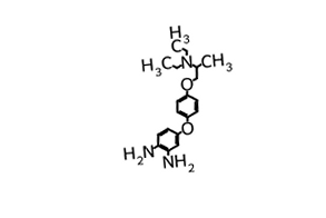 CCN(CC)C(C)COc1ccc(Oc2ccc(N)c(N)c2)cc1